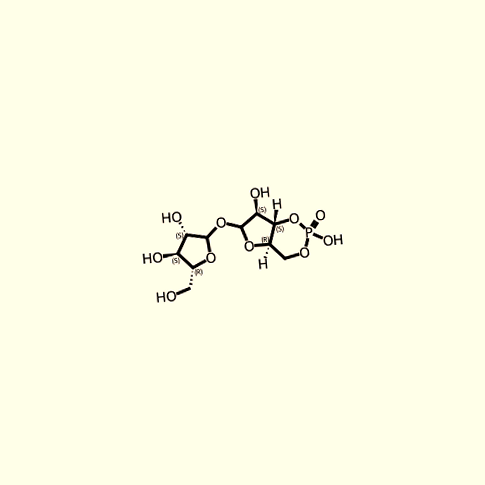 O=P1(O)OC[C@H]2OC(OC3O[C@H](CO)[C@@H](O)[C@@H]3O)[C@@H](O)[C@@H]2O1